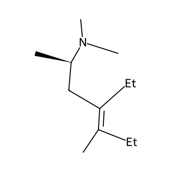 CC/C(C)=C(\CC)C[C@@H](C)N(C)C